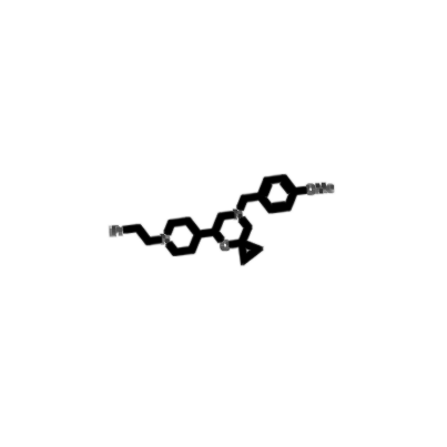 COc1ccc(CN2CC(C3CCN(CCC(C)C)CC3)OC3(CC3)C2)cc1